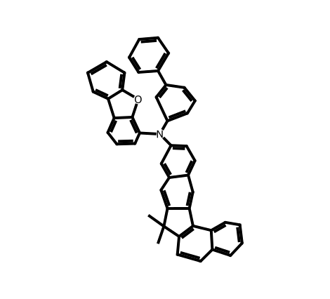 CC1(C)c2cc3cc(N(c4cccc(-c5ccccc5)c4)c4cccc5c4oc4ccccc45)ccc3cc2-c2c1ccc1ccccc21